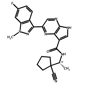 C[C@@H](NC(=O)c1c[nH]c2ncc(-c3nn(C)c4cc(F)ccc34)nc12)C1(C#N)CCCC1